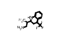 CC(CN)C1CC(C(F)(F)F)c2ccccc2N1